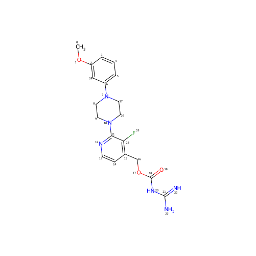 COc1cccc(N2CCN(c3nccc(COC(=O)NC(=N)N)c3F)CC2)c1